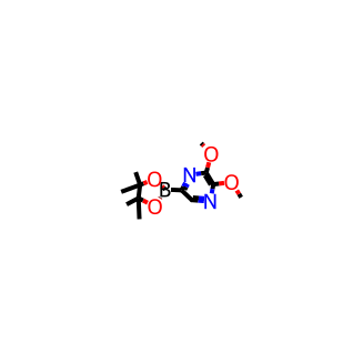 COc1ncc(B2OC(C)(C)C(C)(C)O2)nc1OC